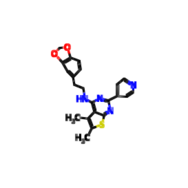 Cc1sc2nc(-c3ccncc3)nc(NCCc3ccc4c(c3)OCO4)c2c1C